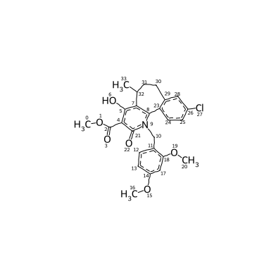 COC(=O)c1c(O)c2c(n(Cc3ccc(OC)cc3OC)c1=O)-c1ccc(Cl)cc1CCC2C